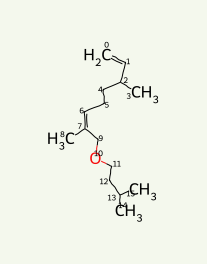 C=CC(C)CCC=C(C)COCCC(C)C